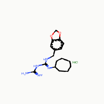 Cl.N=C(N)NC(=NC1CCCCCC1)NCc1ccc2c(c1)OCO2